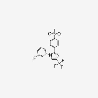 CS(=O)(=O)c1ccc(-c2nc(C(F)(F)F)cn2-c2cccc(F)c2)cc1